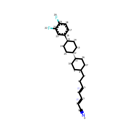 N#C/C=C/C=C/CCC1CCC([C@H]2CC[C@H](c3ccc(F)c(F)c3)CC2)CC1